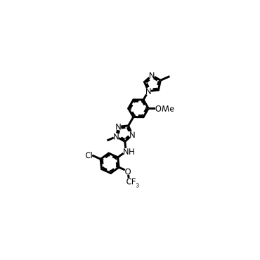 COc1cc(-c2nc(Nc3cc(Cl)ccc3OC(F)(F)F)n(C)n2)ccc1-n1cnc(C)c1